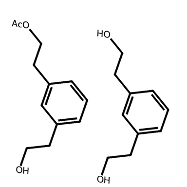 CC(=O)OCCc1cccc(CCO)c1.OCCc1cccc(CCO)c1